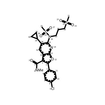 CNC(=O)c1c(-c2ccc(Cl)cc2)oc2nc(N(CCCS(C)(=O)=O)S(C)(=O)=O)c(C3CC3)cc12